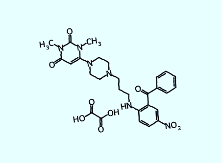 Cn1c(N2CCN(CCCNc3ccc([N+](=O)[O-])cc3C(=O)c3ccccc3)CC2)cc(=O)n(C)c1=O.O=C(O)C(=O)O